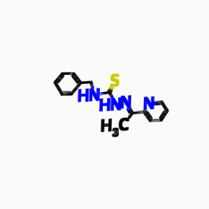 C/C(=N\NC(=S)NCc1ccccc1)c1ccccn1